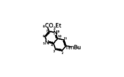 CCCCc1ccc2ncc(C(=O)OCC)nc2c1